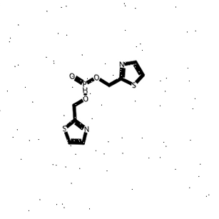 O=[PH](OCc1nccs1)OCc1nccs1